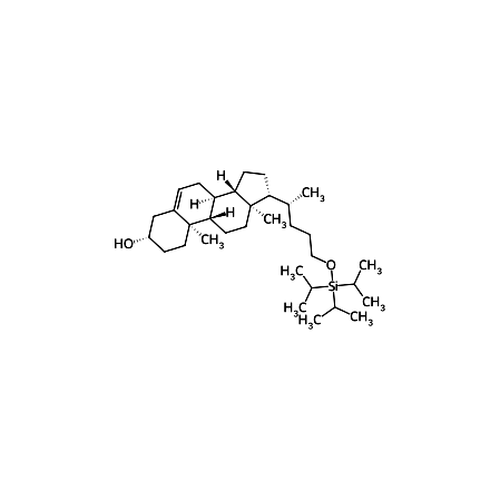 CC(C)[Si](OCCC[C@@H](C)[C@H]1CC[C@H]2[C@@H]3CC=C4C[C@@H](O)CC[C@]4(C)[C@H]3CC[C@]12C)(C(C)C)C(C)C